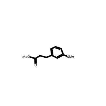 COC(=O)CCc1cccc(SC)c1